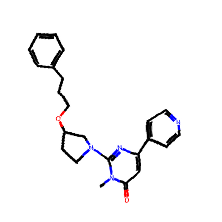 Cn1c(N2CCC(OCCCc3ccccc3)C2)nc(-c2ccncc2)cc1=O